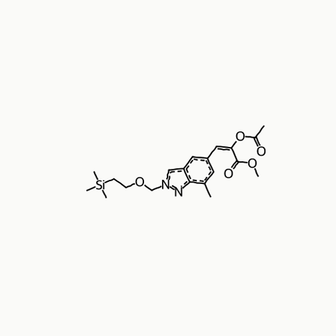 COC(=O)/C(=C\c1cc(C)c2nn(COCC[Si](C)(C)C)cc2c1)OC(C)=O